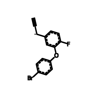 C#C[CH]c1ccc(F)c(Oc2ccc(Br)cc2)c1